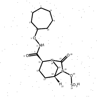 O=C(NOC1CCCCCC1)[C@@H]1CC[C@@H]2CN1C(=O)N2OS(=O)(=O)O